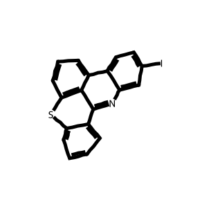 Ic1ccc2c(c1)nc1c3c(cccc32)Sc2ccccc2-1